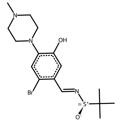 CN1CCN(c2cc(Br)c(C=N[S@+]([O-])C(C)(C)C)cc2O)CC1